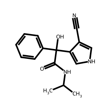 CC(C)NC(=O)C(O)(c1ccccc1)c1c[nH]cc1C#N